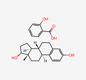 C[C@]12CC[C@@H]3c4ccc(O)cc4CC[C@H]3[C@@H]1CC[C@@H]2O.O=C(O)c1ccccc1O